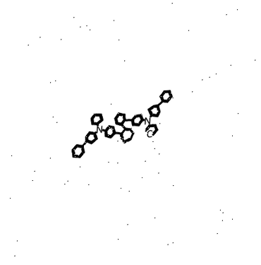 C1=CCC=C(c2ccccc2-c2ccc(N(c3ccccc3)c3ccc(-c4ccccc4)cc3)cc2)C(c2ccc(N(c3ccccc3)c3ccc(-c4ccccc4)cc3)cc2)=C1